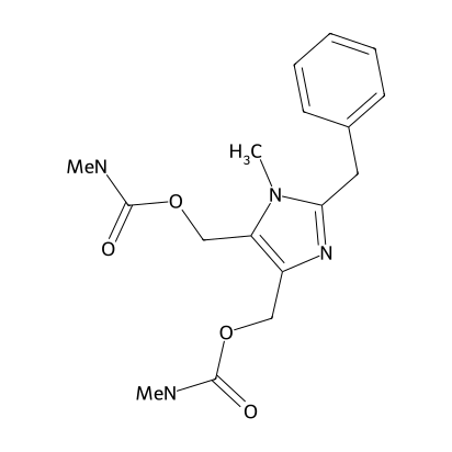 CNC(=O)OCc1nc(Cc2ccccc2)n(C)c1COC(=O)NC